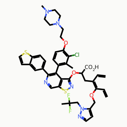 C=C/C(CC(Oc1nsc2cnc(-c3ccc4sccc4c3)c(-c3ccc(OCCN4CCN(C)CC4)c(Cl)c3C)c12)C(=O)O)=C(\C=C)OCc1ccnn1CC(C)(F)F